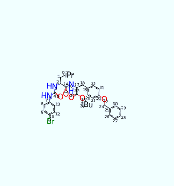 CC(C)C[C@H](NC(=O)Nc1ccc(Br)cc1)C(=O)N[C@@H](Cc1ccc(OCc2ccccc2)cc1)C(=O)OC(C)(C)C